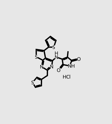 CC1=C(Nc2nc(Cc3ccsc3)nc3scc(-c4cccs4)c23)C(=O)NC1=O.Cl